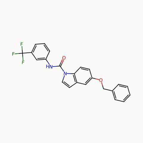 O=C(Nc1cccc(C(F)(F)F)c1)n1ccc2cc(OCc3ccccc3)ccc21